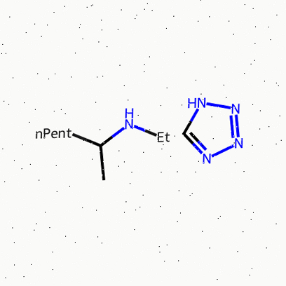 CCCCCC(C)NCC.c1nnn[nH]1